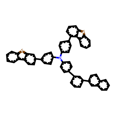 c1cc(-c2ccc(N(c3ccc(-c4ccc5c(c4)sc4ccccc45)cc3)c3ccc(-c4cccc5sc6ccccc6c45)cc3)cc2)cc(-c2ccc3ccccc3c2)c1